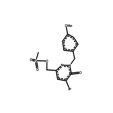 COc1ccc(Cn2nc(COS(C)(=O)=O)cc(Br)c2=O)cc1